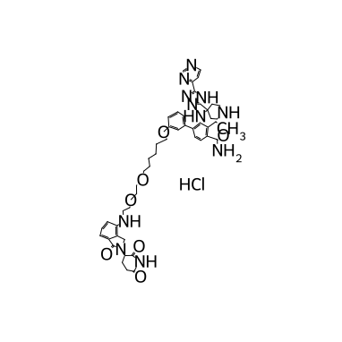 CCc1c(C(N)=O)ccc(-c2cccc(OCCCCCCOCCOCCNc3cccc4c3CN(C3CCC(=O)NC3=O)C4=O)c2)c1NC1(c2nnc(-c3ccncn3)[nH]2)CCNCC1.Cl